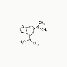 CN(C)c1cc(N(C)C)c2ccoc2c1